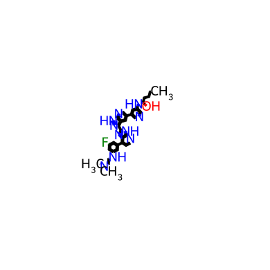 CCCCC(O)Nc1cncc(-c2cnc3[nH]nc(-c4nc5c(-c6cc(F)cc(NCCN(C)C)c6)ccnc5[nH]4)c3c2)c1